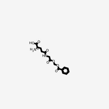 N[C@H](CCC(=O)NCC(=O)OCOC(=O)c1ccccc1)C(=O)O